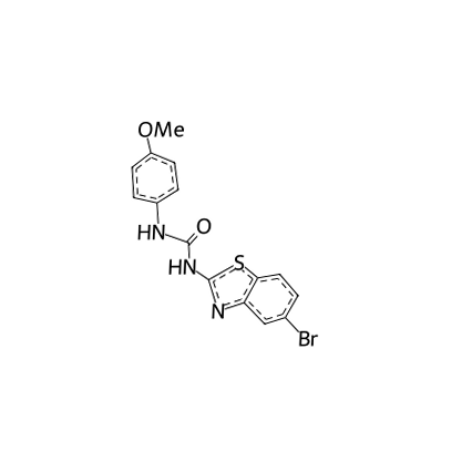 COc1ccc(NC(=O)Nc2nc3cc(Br)ccc3s2)cc1